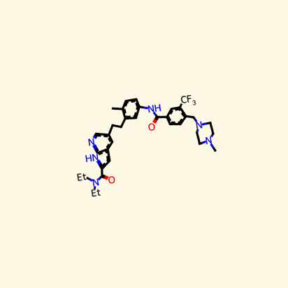 CCN(CC)C(=O)c1cc2cc(CCc3cc(NC(=O)c4ccc(CN5CCN(C)CC5)c(C(F)(F)F)c4)ccc3C)cnc2[nH]1